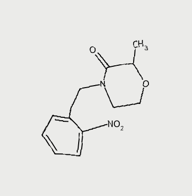 CC1OCCN(Cc2ccccc2[N+](=O)[O-])C1=O